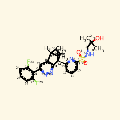 CC(C)(O)CNS(=O)(=O)c1cccc([C@@]23CC[C@@H](c4cc(-c5c(F)cccc5F)nnc42)C3(C)C)n1